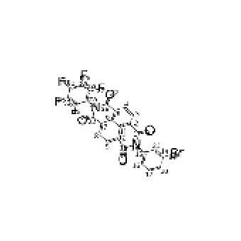 O=C1c2ccc3c4c(ccc(c24)C(=O)N1c1cccc(Br)c1)C(=O)N(c1c(F)c(F)c(F)c(F)c1F)C3=O